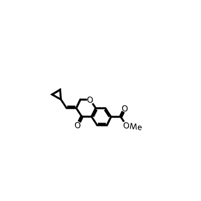 COC(=O)c1ccc2c(c1)OCC(=CC1CC1)C2=O